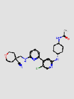 CC(=O)N[C@H]1CC[C@H](Nc2cc(-c3cccc(NCC4(C#N)CCOCC4)n3)c(Cl)cn2)CC1